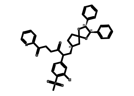 CS(=O)(=O)c1ccc(C(C[C@H]2CCC3(C2)O[C@H](c2ccccc2)[C@@H](c2ccccc2)O3)C(=O)CCC(=O)c2ccccn2)cc1Cl